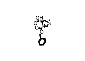 C[Si]1(C)C[C@@H](C(=O)O)N(C(=O)OCc2ccccc2)C1